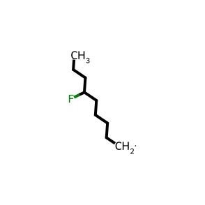 [CH2]CCCCC(F)CCC